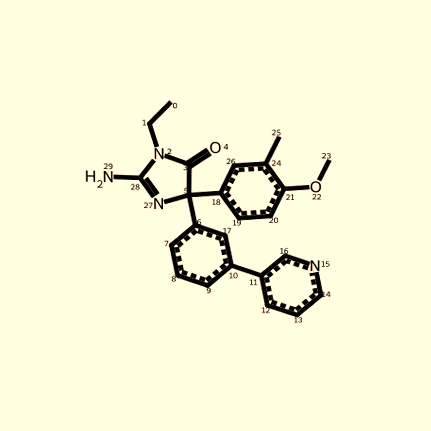 CCN1C(=O)C(c2cccc(-c3cccnc3)c2)(c2ccc(OC)c(C)c2)N=C1N